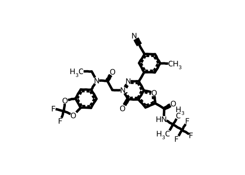 CCN(C(=O)Cn1nc(-c2cc(C)cc(C#N)c2)c2oc(C(=O)NC(C)(C)C(F)(F)F)cc2c1=O)c1ccc2c(c1)OC(F)(F)O2